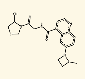 CC1CCN1c1ccc2nccc(C(=O)NCC(=O)N3CSCC3C#N)c2c1